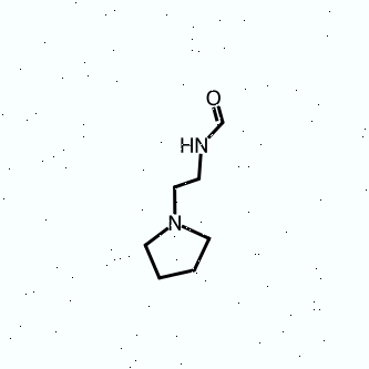 O=CNCCN1CCCC1